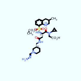 CC(=O)O.CC1CNc2c(cccc2S(=O)(=O)N[C@@H](CC(=O)NC[C@@H]2CCCN(C=NN)C2)C(=O)N(CC(=O)O)C2CC2)C1